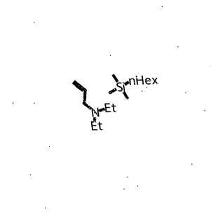 C=CCN(CC)CC.CCCCCC[Si](C)(C)C